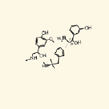 CNC(C)(C)Cc1ccccc1.CNCC(O)c1ccc(O)c(OC)c1.C[C@H](N)[C@H](O)c1cccc(O)c1